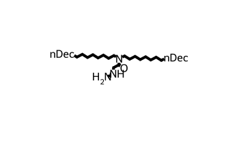 CCCCCCCCCCCCCCCCCCN(CCCCCCCCCCCCCCCCCC)C(=O)CNN